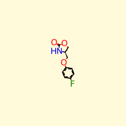 O=C1N[C@H](COc2ccc(F)cc2)CO1